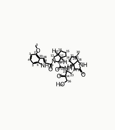 COc1cccc2[nH]c(C(=O)N3C[C@@H]4CCC[C@@H]4[C@H]3C(=O)N[C@@H](C[C@H]3C(=O)NC4[C@H](C)CC[C@@H]43)C(=O)CO)cc12